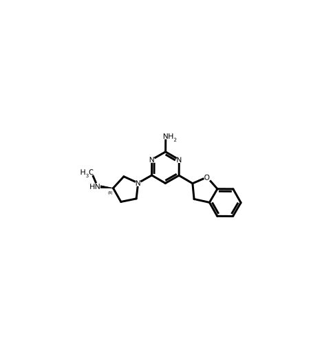 CN[C@@H]1CCN(c2cc(C3Cc4ccccc4O3)nc(N)n2)C1